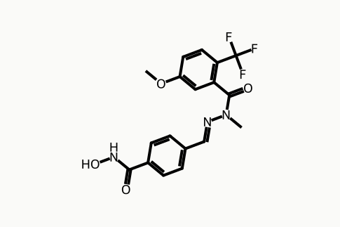 COc1ccc(C(F)(F)F)c(C(=O)N(C)N=Cc2ccc(C(=O)NO)cc2)c1